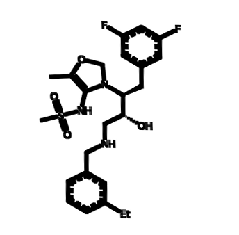 CCc1cccc(CNC[C@@H](O)[C@H](Cc2cc(F)cc(F)c2)N2COC(C)=C2NS(C)(=O)=O)c1